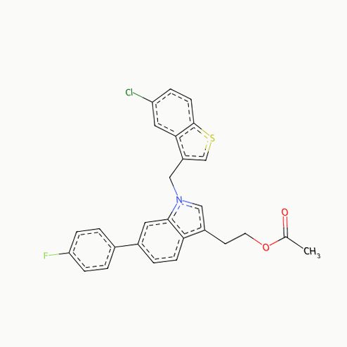 CC(=O)OCCc1cn(Cc2csc3ccc(Cl)cc23)c2cc(-c3ccc(F)cc3)ccc12